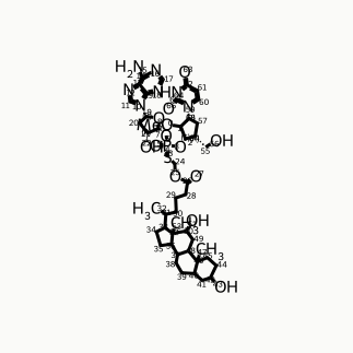 COC1[C@@H](OP(=O)(O[C@H]2O[C@@H](n3cnc4c(N)ncnc43)C[C@H]2O)SCOC(=O)CCCC(C)C2CCC3C4CCC5CC(O)CCC5(C)C4CC(O)C23C)[C@@H](CO)C[C@H]1n1ccc(=O)[nH]c1=O